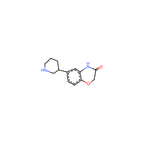 O=C1COc2ccc(C3CCCNC3)cc2N1